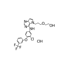 Cl.OCCOCCCn1ccc2ncnc(Nc3ccc(Oc4cccc(C(F)(F)F)c4)c(Cl)c3)c21